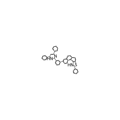 C1=C(c2ccccc2)N=C(c2cccc(-c3ccc4c(ccc5ccc6c(c54)NC(c4ccccc4)S6)c3)c2)NC1c1ccccc1